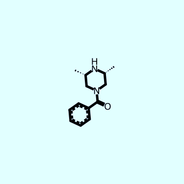 C[C@@H]1CN(C(=O)c2ccccc2)C[C@H](C)N1